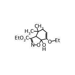 CCOC(=O)C1=NOC2(O)C(OCC)=CCC(C)(C)C12